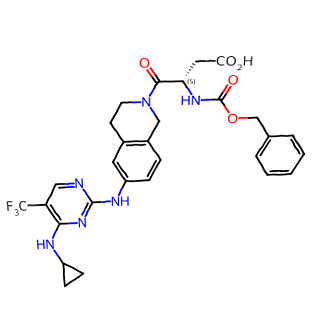 O=C(O)C[C@H](NC(=O)OCc1ccccc1)C(=O)N1CCc2cc(Nc3ncc(C(F)(F)F)c(NC4CC4)n3)ccc2C1